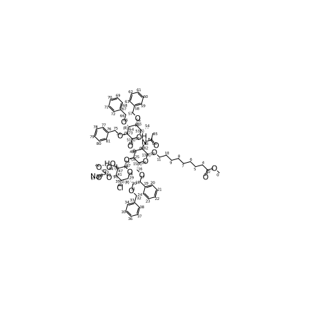 COC(=O)CCCCCCCCO[C@@H]1O[C@H](COCc2ccccc2)[C@@H](O[C@@H]2O[C@H](COCc3ccccc3)[C@H](Cl)[C@H](OS(=O)(=O)[O-])[C@H]2O)[C@H](O[C@@H]2O[C@@H](C)[C@@H](OCc3ccccc3)[C@@H](OCc3ccccc3)[C@@H]2OCc2ccccc2)[C@H]1NC(C)=O.[Na+]